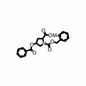 COC(=O)C1CC(OC(=O)c2ccccc2)CN1C(=O)OCc1ccccc1